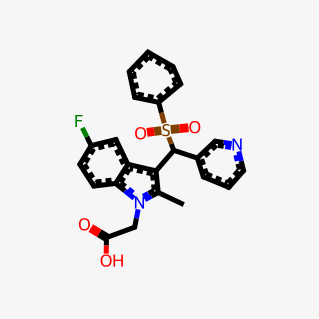 Cc1c(C(c2cccnc2)S(=O)(=O)c2ccccc2)c2cc(F)ccc2n1CC(=O)O